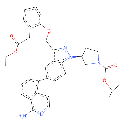 CCOC(=O)Cc1ccccc1OCc1nn([C@H]2CCN(C(=O)OC(C)C)C2)c2ccc(-c3cccc4c(N)nccc34)cc12